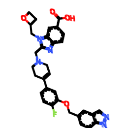 Cn1ncc2cc(COc3cc(C4=CCN(Cc5nc6ccc(C(=O)O)cc6n5CC5CCO5)CC4)ccc3F)ccc21